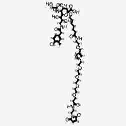 O=C(CCCCCCO[C@]1(C(=O)O)C[C@H](O)[C@@H](NC(=O)CO)[C@H]([C@H](O)[C@H](O)CNC(=O)Cc2ccc(Cl)c(F)c2)O1)NCCOCc1cn(CCOCCOCCOCCOCCC(=O)NCCN2C(=O)C=CC2=O)nn1